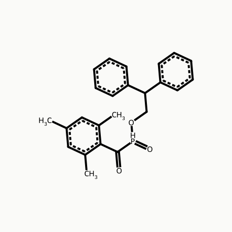 Cc1cc(C)c(C(=O)[PH](=O)OCC(c2ccccc2)c2ccccc2)c(C)c1